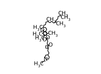 CCCN1CCC(CCCOC(=O)CCC(=O)Oc2c(C)c(C)c3c(c2C)CCC(C)(CCCC(C)CCCC(C)CCCC(C)C)O3)CC1